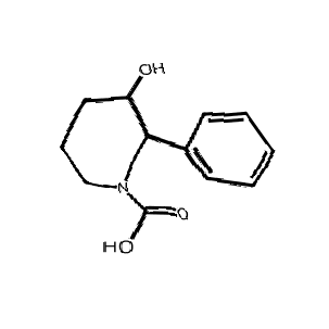 O=C(O)N1CCCC(O)C1c1ccccc1